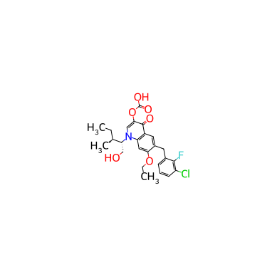 CCOc1cc2c(cc1Cc1cccc(Cl)c1F)c(=O)c(OC(=O)O)cn2[C@H](CO)[C@@H](C)CC